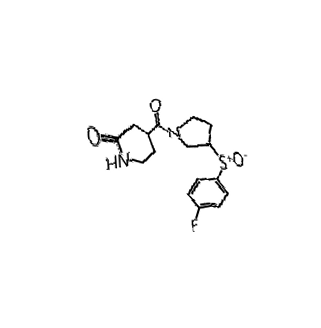 O=C1CC(C(=O)N2CCC([S+]([O-])c3ccc(F)cc3)C2)CCN1